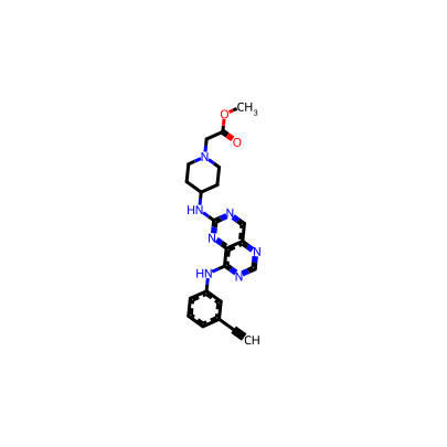 C#Cc1cccc(Nc2ncnc3cnc(NC4CCN(CC(=O)OC)CC4)nc23)c1